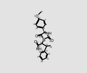 COc1ccc([C@H]2NC(=O)N(C(C(N)=O)C(C)c3ccccc3)C2=O)cc1